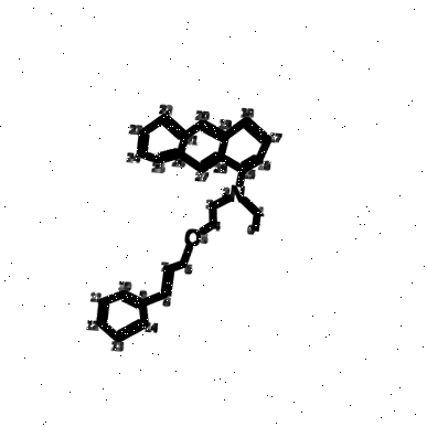 CCN(CCOCC=Cc1ccccc1)c1cccc2cc3ccccc3cc12